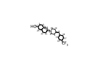 Oc1ccc2nc(N3CCC(=Cc4ccc(C(F)(F)F)cc4)CC3)ccc2c1